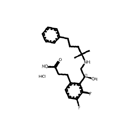 CC(C)(CCCc1ccccc1)NC[C@@H](O)c1c(CCC(=O)O)ccc(F)c1F.Cl